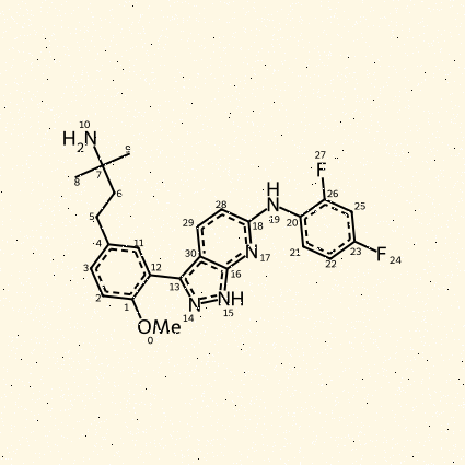 COc1ccc(CCC(C)(C)N)cc1-c1n[nH]c2nc(Nc3ccc(F)cc3F)ccc12